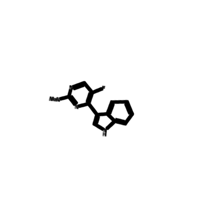 CNc1ncc(F)c(-c2c[nH]c3ccccc23)n1